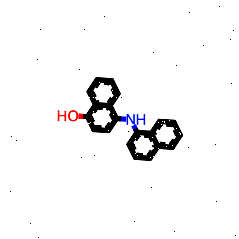 Oc1ccc(Nc2cccc3ccccc23)c2ccccc12